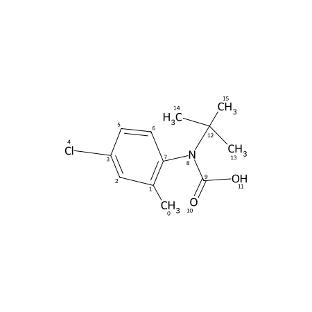 Cc1cc(Cl)ccc1N(C(=O)O)C(C)(C)C